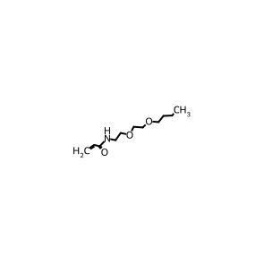 C=CC(=O)NCCOCCOCCCC